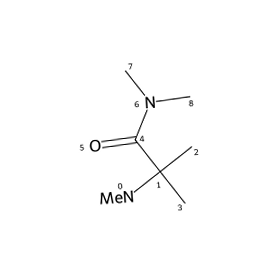 CNC(C)(C)C(=O)N(C)C